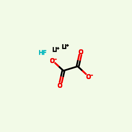 F.O=C([O-])C(=O)[O-].[Li+].[Li+]